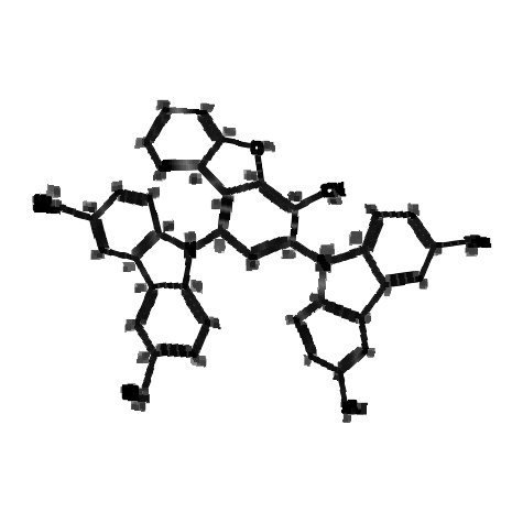 CC(C)(C)c1ccc2c(c1)c1cc(C(C)(C)C)ccc1n2-c1cc(-n2c3ccc(C(C)(C)C)cc3c3cc(C(C)(C)C)ccc32)c2c(oc3ccccc32)c1C#N